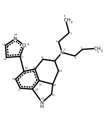 CCCN(CCC)C1Cc2c(-c3ccno3)ccc3c2C(CN3)C1